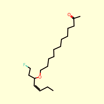 CC/C=C\C(CCF)OCCCCCCCCCCC(C)=O